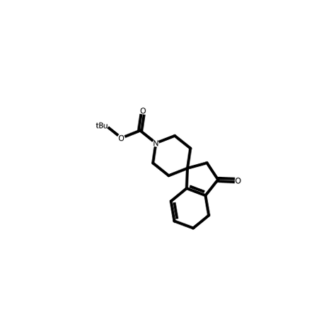 CC(C)(C)OC(=O)N1CCC2(CC1)CC(=O)C1=C2C=CCC1